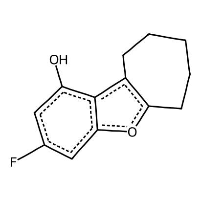 Oc1cc(F)cc2oc3c(c12)CCCCC3